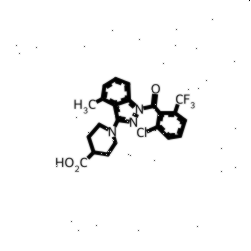 Cc1cccc2c1c(N1CCC(C(=O)O)CC1)nn2C(=O)c1c(Cl)cccc1C(F)(F)F